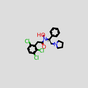 O=C(Cc1c(Cl)ccc(Cl)c1Cl)N(O)[C@H](CN1CCCC1)c1ccccc1